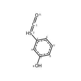 O=C=[SH]c1cccc(O)c1